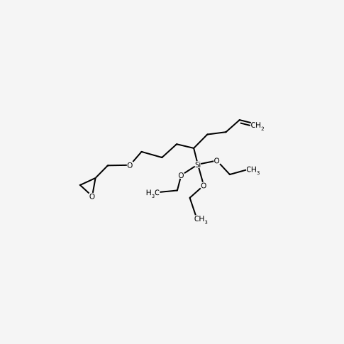 C=CCCC(CCCOCC1CO1)[Si](OCC)(OCC)OCC